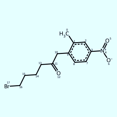 Cc1cc([N+](=O)[O-])ccc1CC(=O)CCCCBr